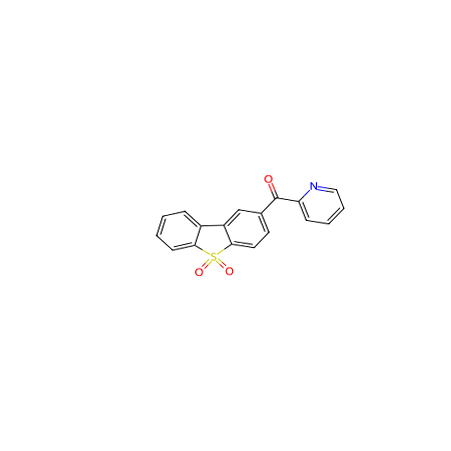 O=C(c1ccc2c(c1)-c1ccccc1S2(=O)=O)c1ccccn1